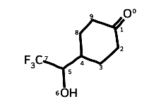 O=C1CCC(C(O)C(F)(F)F)CC1